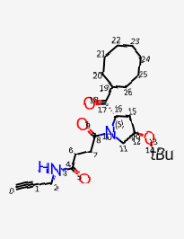 C#CCNC(=O)CCC(=O)N1C[C@H](OC(C)(C)C)C[C@H]1C(=O)C1CCCCCCC1